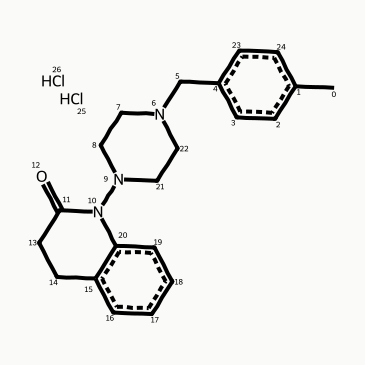 Cc1ccc(CN2CCN(N3C(=O)CCc4ccccc43)CC2)cc1.Cl.Cl